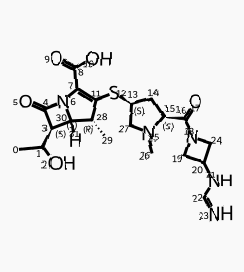 CC(O)[C@H]1C(=O)N2C(C(=O)O)=C(S[C@H]3C[C@@H](C(=O)N4CC(NC=N)C4)N(C)C3)[C@H](C)[C@H]12